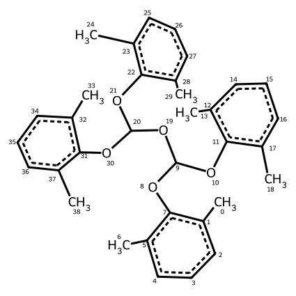 Cc1cccc(C)c1OC(Oc1c(C)cccc1C)OC(Oc1c(C)cccc1C)Oc1c(C)cccc1C